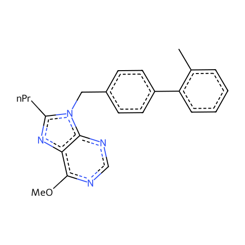 CCCc1nc2c(OC)ncnc2n1Cc1ccc(-c2ccccc2C)cc1